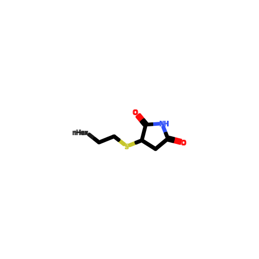 CCCCCCCCSC1CC(=O)NC1=O